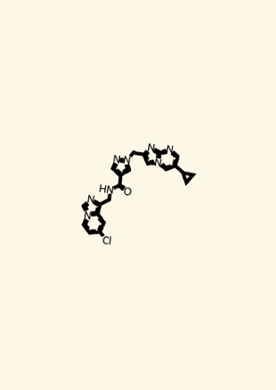 O=C(NCc1ncn2ccc(Cl)cc12)c1cnn(Cc2cn3cc(C4CC4)cnc3n2)c1